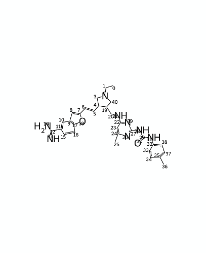 CCN1CC(/C=C/c2cc3cc(C(=N)N)ccc3o2)C(CNc2cc(C)nc(NC(=O)Nc3ccc(C)cc3)n2)C1